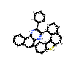 c1ccc(-c2nc3c(ccc4ccccc43)nc2-c2cccc3ccc4sc5ccccc5c4c23)cc1